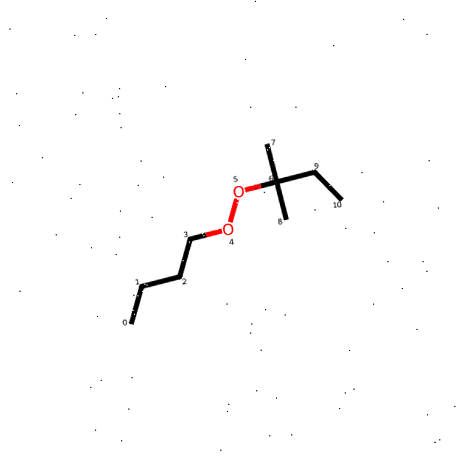 CCCCOOC(C)(C)CC